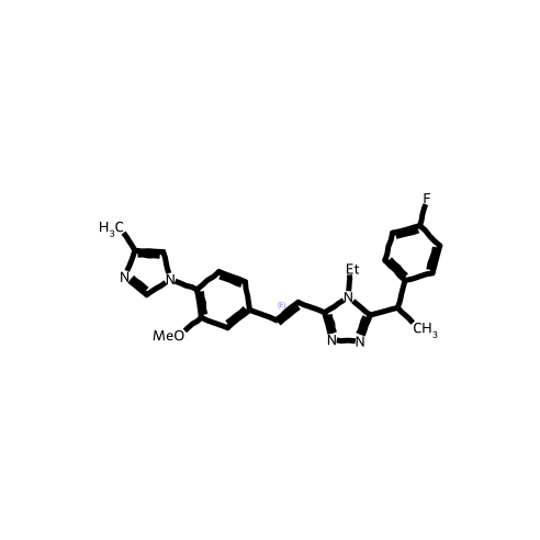 CCn1c(/C=C/c2ccc(-n3cnc(C)c3)c(OC)c2)nnc1C(C)c1ccc(F)cc1